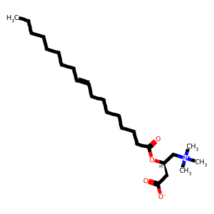 CCCCCCCCC=CCCCCCCCC(=O)O[C@H](CC(=O)[O-])C[N+](C)(C)C